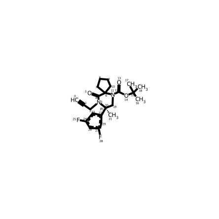 C#CCN1C(=O)C2(CCCC2)N(C(=O)OC(C)(C)C)C[C@@]1(C)c1cc(F)cc(F)c1